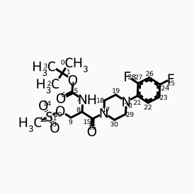 CC(C)(C)OC(=O)NC(COS(C)(=O)=O)C(=O)N1CCN(c2ccc(F)cc2F)CC1